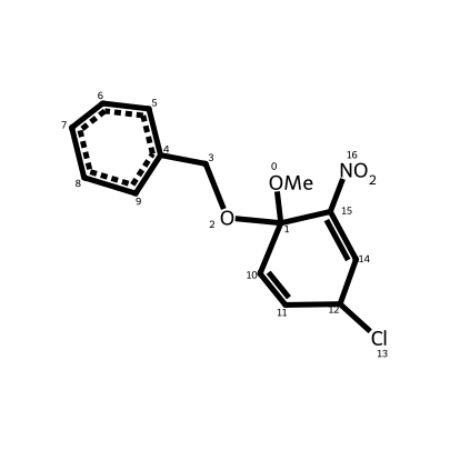 COC1(OCc2ccccc2)C=CC(Cl)C=C1[N+](=O)[O-]